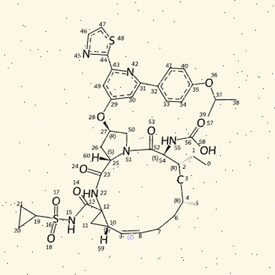 CC[C@@H]1C[C@H](C)CC/C=C\[C@@H]2CC2(C(=O)NS(=O)(=O)C2CC2)NC(=O)[C@@H]2C[C@@H](Oc3cc(-c4ccc(OC(C)C)cc4)nc(-c4nccs4)c3)CN2C(=O)[C@H]1NC(=O)O